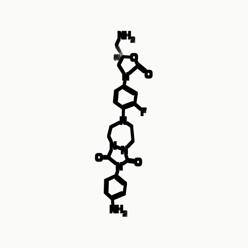 NC[C@H]1CN(c2ccc(N3CCn4c(=O)n(-c5ccc(N)cc5)c(=O)n4CC3)c(F)c2)C(=O)O1